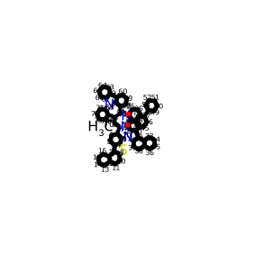 CC1=C(c2ccc3c(sc4ccc5ccccc5c43)c2-n2c3cc4ccccc4cc3c3c4ccccc4ccc32)N=C(c2cccc(-c3ccccc3)c2)N=C2c3cccc4c5ccccc5n(c34)-c3ccccc3[C@@H]21